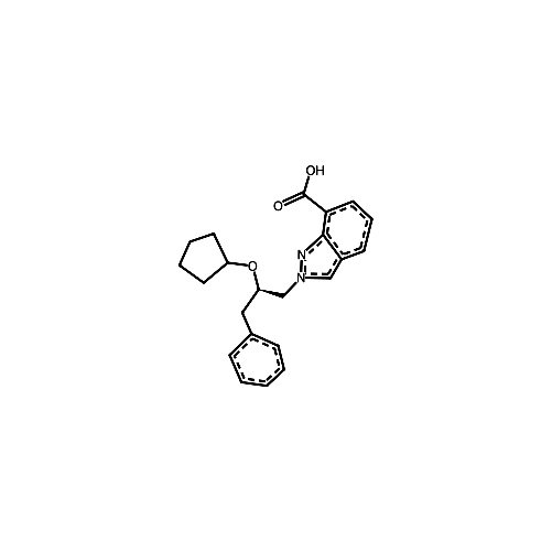 O=C(O)c1cccc2cn(C[C@@H](Cc3ccccc3)OC3CCCC3)nc12